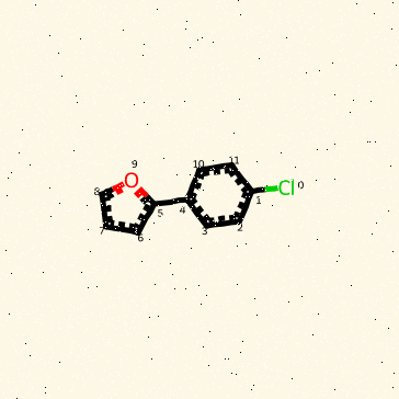 Clc1ccc(-c2cc[c]o2)cc1